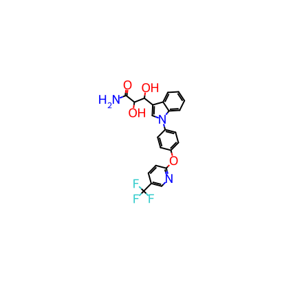 NC(=O)C(O)C(O)c1cn(-c2ccc(Oc3ccc(C(F)(F)F)cn3)cc2)c2ccccc12